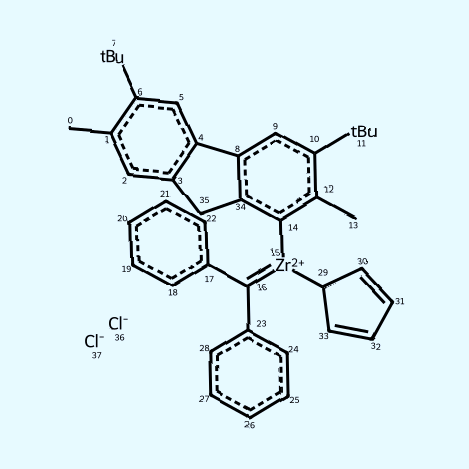 Cc1cc2c(cc1C(C)(C)C)-c1cc(C(C)(C)C)c(C)[c]([Zr+2](=[C](c3ccccc3)c3ccccc3)[CH]3C=CC=C3)c1C2.[Cl-].[Cl-]